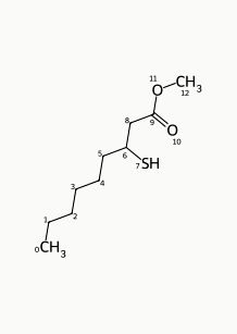 CCCCCCC(S)CC(=O)OC